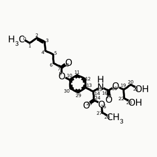 CC/C=C\CCCC(=O)Oc1ccc(C(NC(=O)OC(CO)CO)C(=O)OCC)cc1